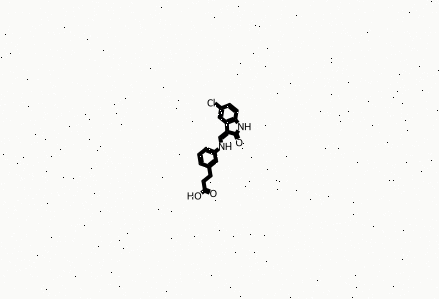 O=C(O)CCc1cccc(NC=C2C(=O)Nc3ccc(Cl)cc32)c1